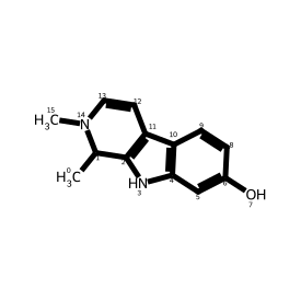 CC1c2[nH]c3cc(O)ccc3c2C=CN1C